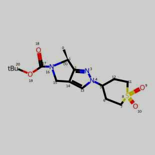 C[C@H]1c2nn(C3CCS(=O)(=O)CC3)cc2CN1C(=O)OC(C)(C)C